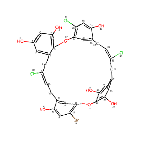 Oc1cc(O)c2c(c1)C/C(Cl)=C\Cc1cc(c(Br)cc1O)Oc1c(O)cc(cc1O)C/C(Cl)=C\Cc1cc(c(Cl)cc1O)O2